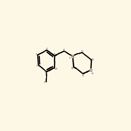 [CH]c1cccc(CN2CCOCC2)c1